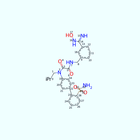 CC(C)CN(C(=O)C(=O)NCc1cccc(C(=N)NO)c1)c1ccc(-c2ccccc2S(N)(=O)=O)cc1